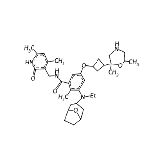 CCN(c1cc(OC2CC(C3(C)CNCC(C)O3)C2)cc(C(=O)NCc2c(C)cc(C)[nH]c2=O)c1C)C1CC2CCC(C1)O2